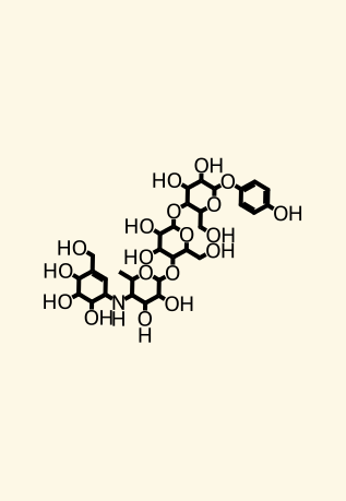 CC1OC(OC2C(CO)OC(OC3C(CO)OC(Oc4ccc(O)cc4)C(O)C3O)C(O)C2O)C(O)C(O)C1NC1C=C(CO)C(O)C(O)C1O